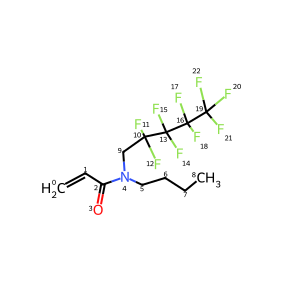 C=CC(=O)N(CCCC)CC(F)(F)C(F)(F)C(F)(F)C(F)(F)F